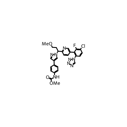 COCCC(c1ccc(-c2c(-n3cnnn3)ccc(Cl)c2F)cn1)n1cc(-c2ccc(NC(=O)OC)cc2)cn1